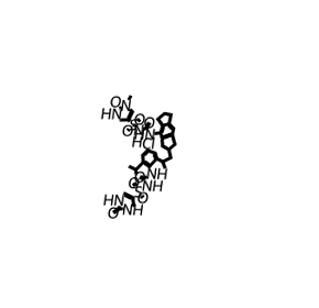 CC(C)c1cc(Cl)cc(C(C)CC2Cc3cc4c(c(NC(=O)NS(=O)(=O)C5=CN(C)C(=O)NC5)c3C2)CCC4)c1NC(=O)NS(=O)(=O)C1=CNC(=O)NC1